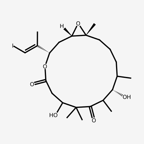 C/C(=C\I)[C@@H]1C[C@@H]2O[C@]2(C)CCCC(C)[C@H](O)C(C)C(=O)C(C)(C)C(O)CC(=O)O1